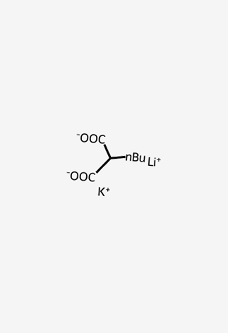 CCCCC(C(=O)[O-])C(=O)[O-].[K+].[Li+]